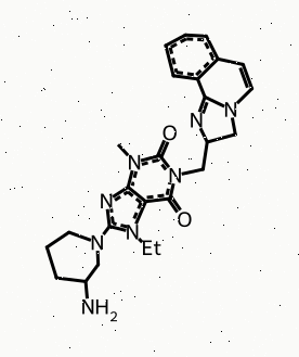 CCn1c(N2CCCC(N)C2)nc2c1c(=O)n(CC1CN3C=Cc4ccccc4C3=N1)c(=O)n2C